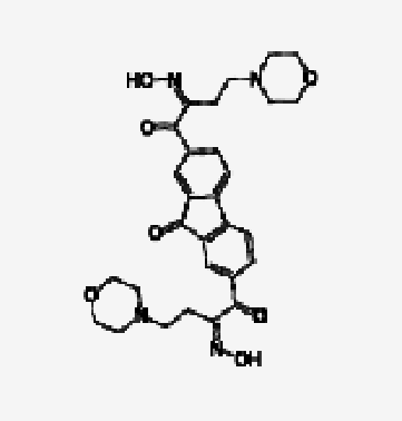 O=C(/C(CCN1CCOCC1)=N\O)c1ccc2c(c1)C(=O)c1cc(C(=O)/C(CCN3CCOCC3)=N\O)ccc1-2